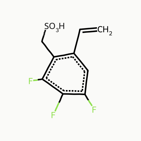 C=Cc1cc(F)c(F)c(F)c1CS(=O)(=O)O